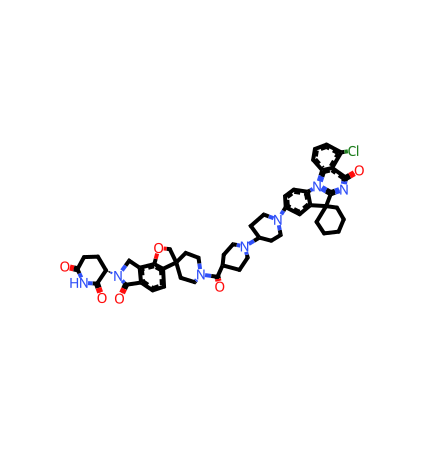 O=C1CC[C@H](N2Cc3c(ccc4c3OCC43CCN(C(=O)C4CCN(C5CCN(c6ccc7c(c6)C6(CCCCC6)c6nc(=O)c8c(Cl)cccc8n6-7)CC5)CC4)CC3)C2=O)C(=O)N1